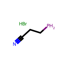 Br.N#CCCP